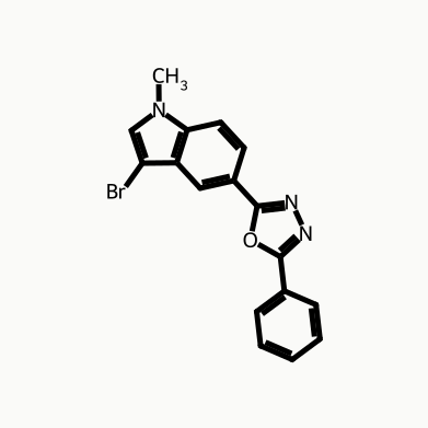 Cn1cc(Br)c2cc(-c3nnc(-c4ccccc4)o3)ccc21